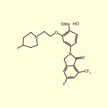 COc1ccc(N2Cc3cc(F)cc(C(F)(F)F)c3C2=O)cc1OCCN1CCC(C)CC1.Cl